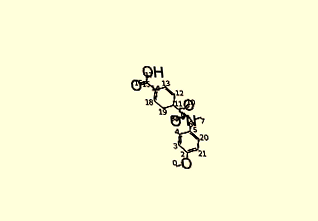 COc1ccc(N(C)S(=O)(=O)C2C=CC(C(=O)O)=CC2)cc1